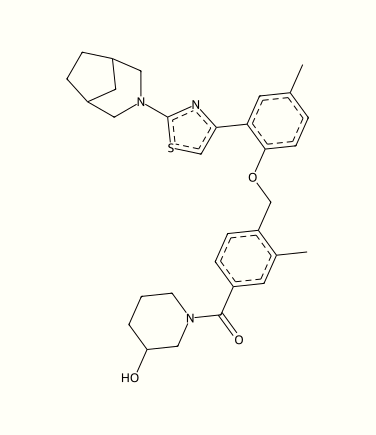 Cc1ccc(OCc2ccc(C(=O)N3CCCC(O)C3)cc2C)c(-c2csc(N3CC4CCC(C4)C3)n2)c1